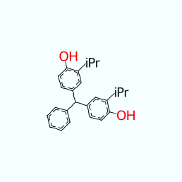 CC(C)c1cc(C(c2ccccc2)c2ccc(O)c(C(C)C)c2)ccc1O